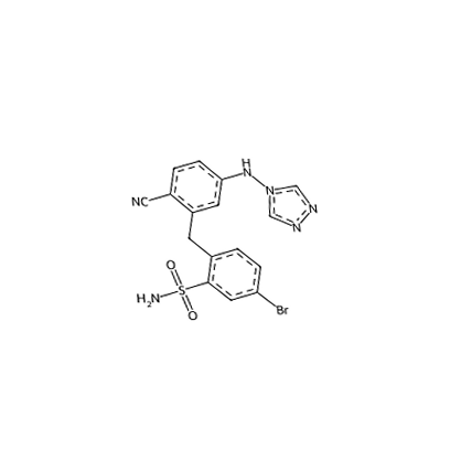 N#Cc1ccc(Nn2cnnc2)cc1Cc1ccc(Br)cc1S(N)(=O)=O